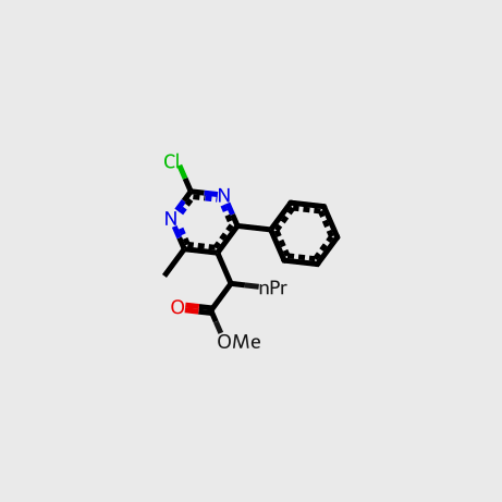 CCCC(C(=O)OC)c1c(C)nc(Cl)nc1-c1ccccc1